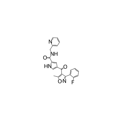 Cc1onc(-c2ccccc2F)c1C(=O)c1c[nH]c(C(=O)NCc2ccccn2)c1